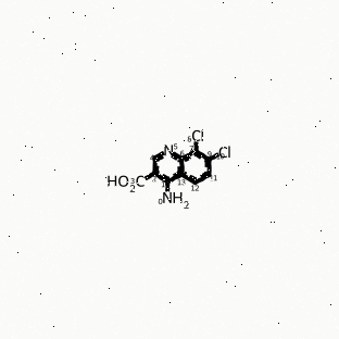 Nc1c(C(=O)O)cnc2c(Cl)c(Cl)ccc12